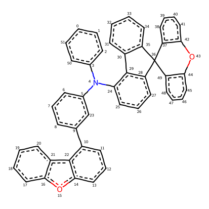 c1ccc(N(c2cccc(-c3cccc4oc5ccccc5c34)c2)c2cccc3c2-c2ccccc2C32c3ccccc3Oc3ccccc32)cc1